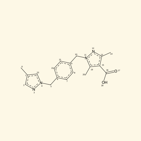 Cc1cnn(Cc2ccc(Cn3nc(C)c(C(=O)O)c3C)cc2)c1